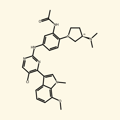 COc1cccc2c(-c3nc(Nc4ccc(N5CC[C@@H](N(C)C)C5)c(NC(C)=O)c4)ncc3Cl)cn(C)c12